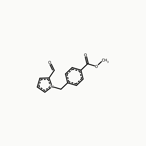 COC(=O)c1ccc(Cn2cccc2C=O)cc1